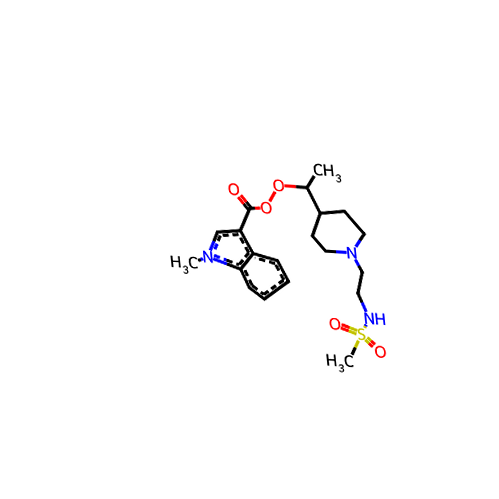 CC(OOC(=O)c1cn(C)c2ccccc12)C1CCN(CCNS(C)(=O)=O)CC1